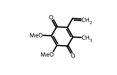 C=CC1=C(C)C(=O)C(OC)=C(OC)C1=O